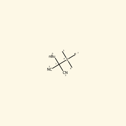 CCCCC(C#N)(C#N)S(C)(C)F